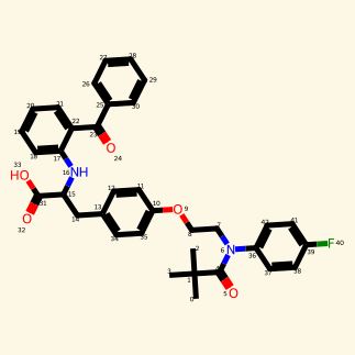 CC(C)(C)C(=O)N(CCOc1ccc(CC(Nc2ccccc2C(=O)c2ccccc2)C(=O)O)cc1)c1ccc(F)cc1